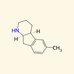 Cc1ccc2c(c1)[C@@H]1CCCN[C@@H]1C2